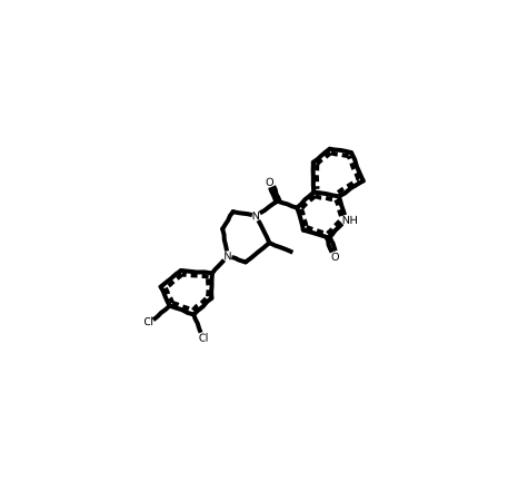 CC1CN(c2ccc(Cl)c(Cl)c2)CCN1C(=O)c1cc(=O)[nH]c2ccccc12